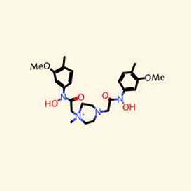 COc1cc(N(O)C(=O)CN2CC[N+](C)(CC(=O)N(O)c3ccc(C)c(OC)c3)CC2)ccc1C